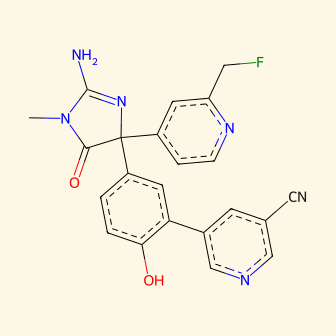 CN1C(=O)C(c2ccnc(CF)c2)(c2ccc(O)c(-c3cncc(C#N)c3)c2)N=C1N